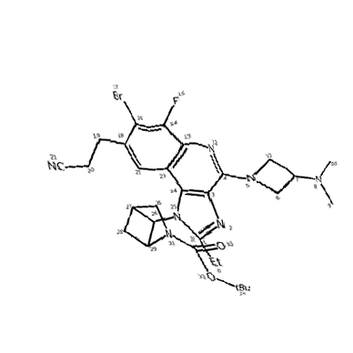 CCc1nc2c(N3CC(N(C)C)C3)nc3c(F)c(Br)c(CCC#N)cc3c2n1C1C2CC1N(C(=O)OC(C)(C)C)C2